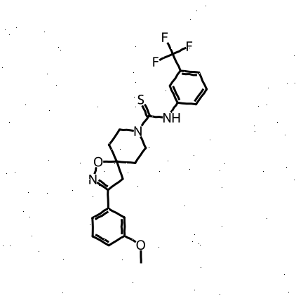 COc1cccc(C2=NOC3(CCN(C(=S)Nc4cccc(C(F)(F)F)c4)CC3)C2)c1